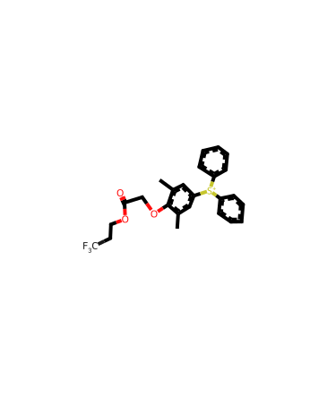 Cc1cc([S+](c2ccccc2)c2ccccc2)cc(C)c1OCC(=O)OCCC(F)(F)F